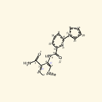 C/N=C(C(N)=O)\C(=C/NC)NC(=O)c1cccc(-n2cccc2)n1